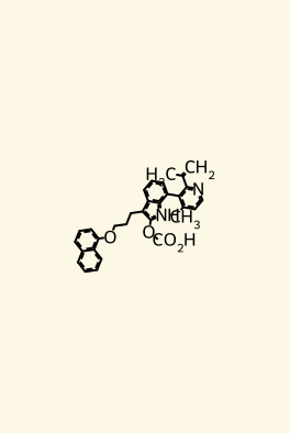 C=C(C)c1nccc(C)c1-c1cccc2c(CCCOc3cccc4ccccc34)c(OC(=O)O)[nH]c12